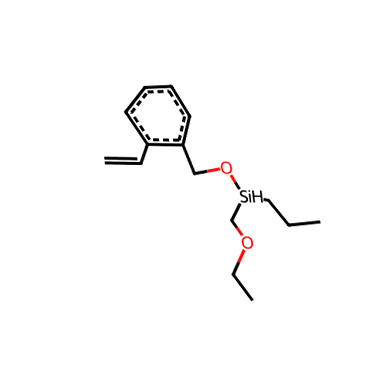 C=Cc1ccccc1CO[SiH](CCC)COCC